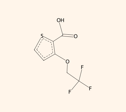 O=C(O)c1sccc1OCC(F)(F)F